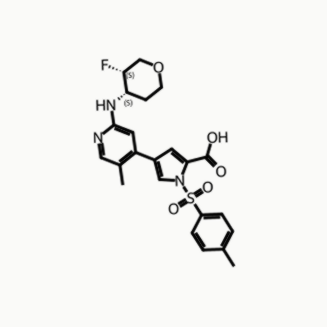 Cc1ccc(S(=O)(=O)n2cc(-c3cc(N[C@H]4CCOC[C@H]4F)ncc3C)cc2C(=O)O)cc1